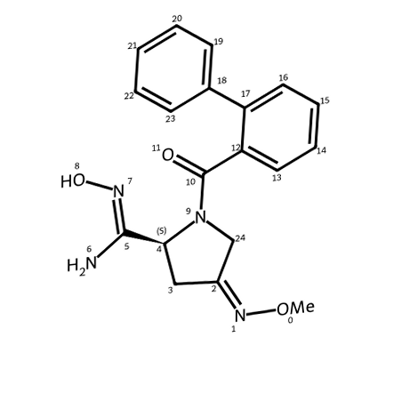 CON=C1C[C@@H](C(N)=NO)N(C(=O)c2ccccc2-c2ccccc2)C1